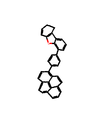 C1=Cc2oc3c(-c4ccc(-c5ccc6ccc7cccc8ccc5c6c78)cc4)cccc3c2CC1